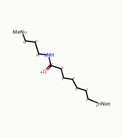 CCCCCCCCCCCCCCCC(=O)NCCCNC